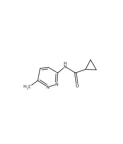 Cc1ccc(NC(=O)C2CC2)nn1